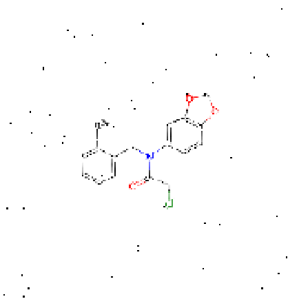 CCCc1ccccc1CN(C(=O)CCl)c1ccc2c(c1)OCO2